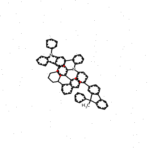 CC1(c2ccccc2)c2ccccc2-c2ccc(-c3ccc(N(c4ccccc4-c4ccc5c6ccccc6n(-c6ccccc6)c5c4)c4ccccc4-c4cccc5cccc(C6CCCCC6)c45)cc3)cc21